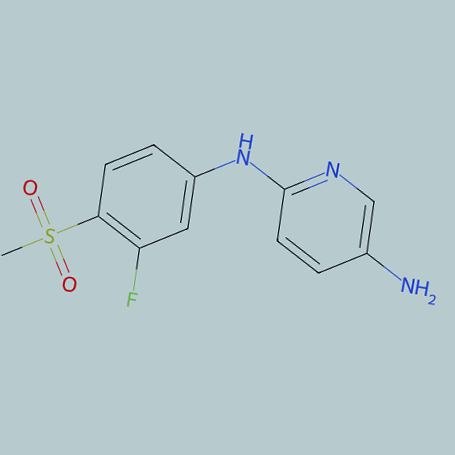 CS(=O)(=O)c1ccc(Nc2ccc(N)cn2)cc1F